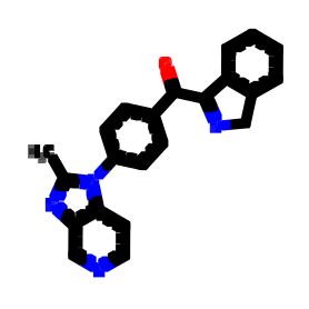 Cc1nc2cnccc2n1-c1ccc(C(=O)C2=NCc3ccccc32)cc1